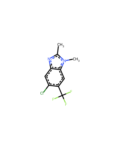 Cc1nc2cc(Cl)c(C(F)(F)F)cc2n1C